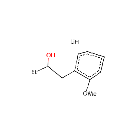 CCC(O)Cc1ccccc1OC.[LiH]